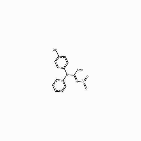 CSC(=N[SH](=O)=O)N(c1ccccc1)c1ccc(C(C)=O)cc1